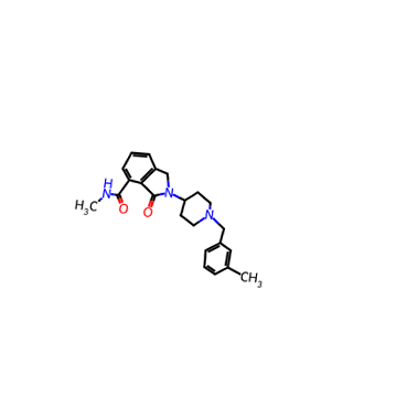 CNC(=O)c1cccc2c1C(=O)N(C1CCN(Cc3cccc(C)c3)CC1)C2